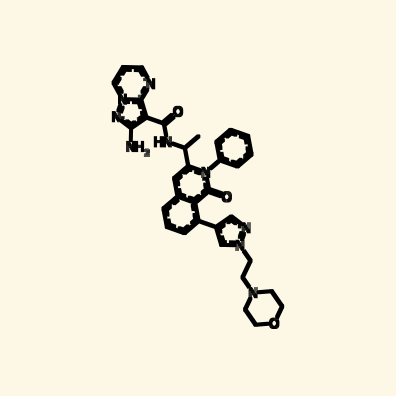 CC(NC(=O)c1c(N)nn2cccnc12)c1cc2cccc(-c3cnn(CCN4CCOCC4)c3)c2c(=O)n1-c1ccccc1